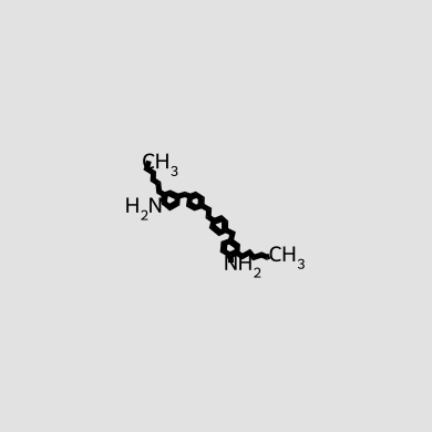 CCCCCCc1cc(Cc2ccc(CCc3ccc(Cc4ccc(N)c(CCCCCC)c4)cc3)cc2)ccc1N